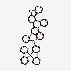 c1ccc(N(c2ccc3c(c2)C(c2ccccc2)(c2ccccc2)c2ccccc2-3)c2ccccc2-c2ccc3c4ccccc4c4c(ccc5oc6ccccc6c54)c3c2)cc1